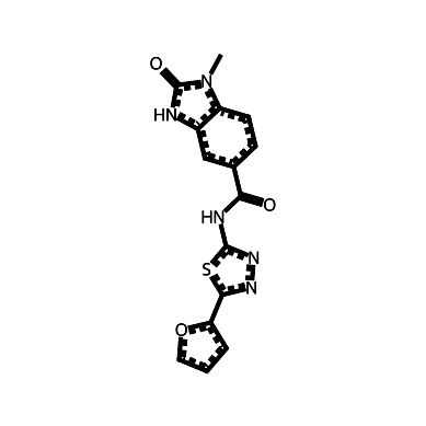 Cn1c(=O)[nH]c2cc(C(=O)Nc3nnc(-c4ccco4)s3)ccc21